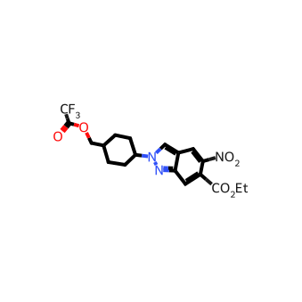 CCOC(=O)c1cc2nn(C3CCC(COC(=O)C(F)(F)F)CC3)cc2cc1[N+](=O)[O-]